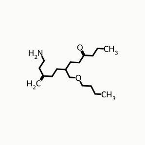 C=C(CCN)CCC(CCC(=O)CCC)COCCCC